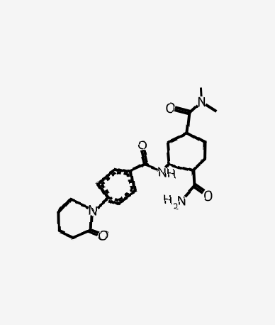 CN(C)C(=O)C1CCC(C(N)=O)C(NC(=O)c2ccc(N3CCCCC3=O)cc2)C1